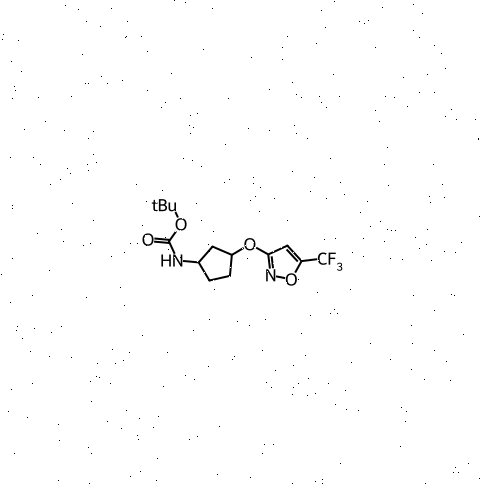 CC(C)(C)OC(=O)NC1CCC(Oc2cc(C(F)(F)F)on2)C1